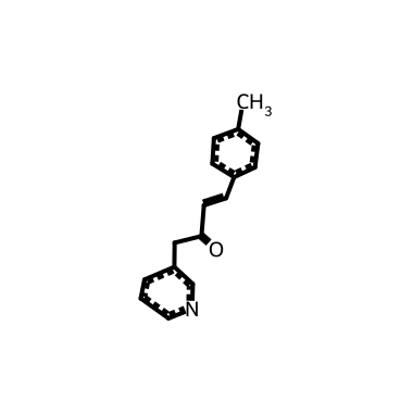 Cc1ccc(C=CC(=O)Cc2cccnc2)cc1